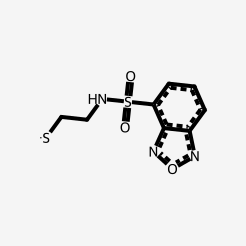 O=S(=O)(NCC[S])c1cccc2nonc12